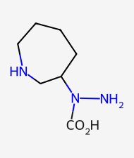 NN(C(=O)O)C1CCCCNC1